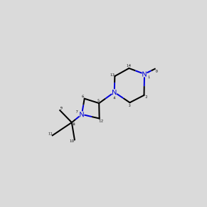 CN1CCN(C2CN(C(C)(C)C)C2)CC1